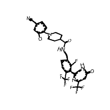 N#Cc1ccc(N2CCC(C(=O)NCc3ccc(C(F)(F)F)c(-c4nc(C(F)(F)F)cc(=O)[nH]4)c3F)CC2)c(Cl)c1